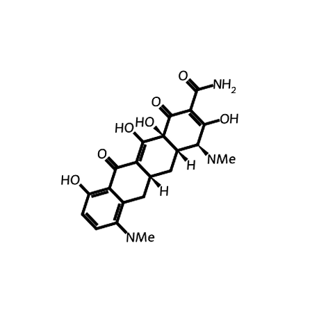 CNc1ccc(O)c2c1C[C@H]1C[C@H]3[C@H](NC)C(O)=C(C(N)=O)C(=O)[C@@]3(O)C(O)=C1C2=O